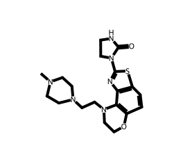 CN1CCN(CCN2CCOc3ccc4sc(N5CCNC5=O)nc4c32)CC1